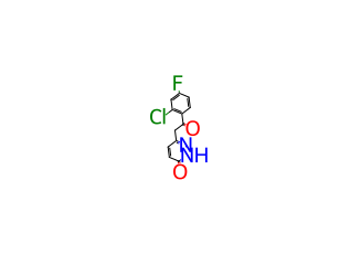 O=C(Cc1ccc(=O)[nH]n1)c1ccc(F)cc1Cl